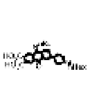 CCCCCCOc1ccc(-c2ccc3c(c2)C(=O)c2cc(C(=O)O)c(C(=O)O)cc2C3=NCCCC)cc1